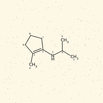 CC1=C(NC(C)C)CCC1